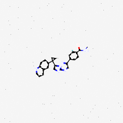 CNC(=O)c1ccc(-c2cnc3ncc(C4(c5ccc6ncccc6c5)CC4)n3n2)cc1F